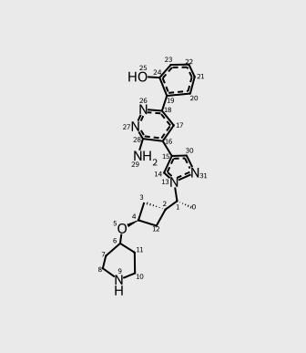 C[C@H]([C@H]1C[C@H](OC2CCNCC2)C1)n1cc(-c2cc(-c3ccccc3O)nnc2N)cn1